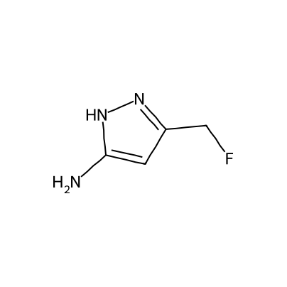 Nc1cc(CF)n[nH]1